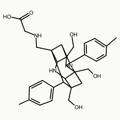 Cc1ccc(C2C3(CO)C4NC5C2(CO)C2NC3C4(CO)C(c3ccc(C)cc3)C52CNCC(=O)O)cc1